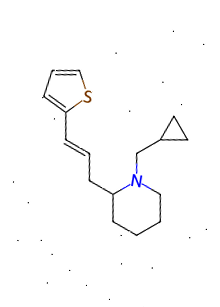 C(=Cc1cccs1)CC1CCCCN1CC1CC1